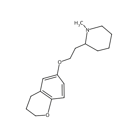 CN1CCCCC1CCOc1ccc2c(c1)CCCO2